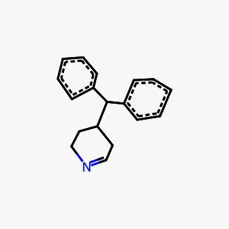 C1=NCCC(C(c2ccccc2)c2ccccc2)C1